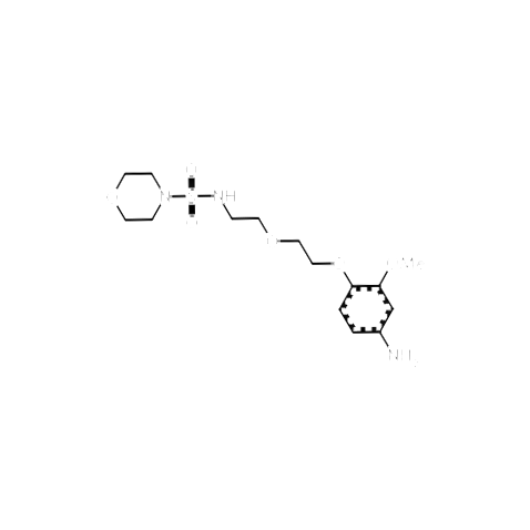 COc1cc(N)ccc1OCCOCCNS(=O)(=O)N1CCOCC1